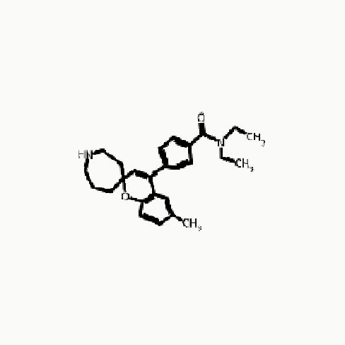 CCN(CC)C(=O)c1ccc(C2=CC3(CCCNCC3)Oc3ccc(C)cc32)cc1